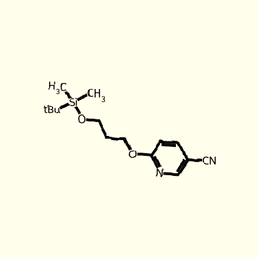 CC(C)(C)[Si](C)(C)OCCCOc1ccc(C#N)cn1